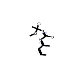 C\C=C/C(C)=N/C(Cl)=N\C(C)(Cl)OC